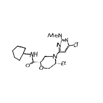 CC[C@@H]1CO[C@H](C(=O)NC2CCCCC2)CN1c1cc(Cl)nc(NC)n1